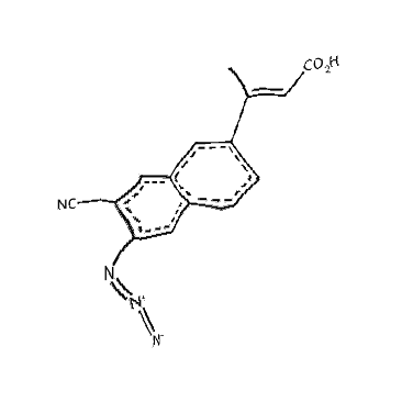 C/C(=C\C(=O)O)c1ccc2cc(N=[N+]=[N-])c(C#N)cc2c1